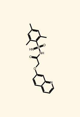 Cc1cc(C)c(S(=N)(=O)NC(=O)COc2ccc3cccnc3c2)c(C)c1